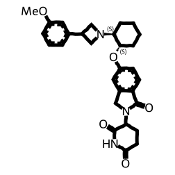 COc1cccc(C2CN([C@H]3CCCC[C@@H]3Oc3ccc4c(c3)CN(C3CCC(=O)NC3=O)C4=O)C2)c1